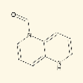 O=CN1C=CC=C2NC=CC=C21